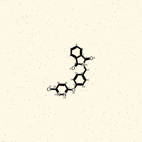 O=C1c2ccccc2C(=O)N1Cc1ccc(Oc2ccc(Cl)nn2)cc1